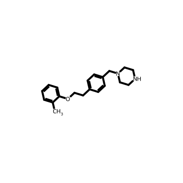 Cc1ccccc1OCCc1ccc(CN2CCNCC2)cc1